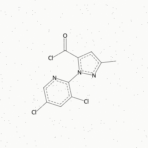 Cc1cc(C(=O)Cl)n(-c2ncc(Cl)cc2Cl)n1